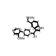 CCC(c1c[nH]c2ccc(CNC(C)=O)cc12)N1CCN(c2ncncc2OC)CC1